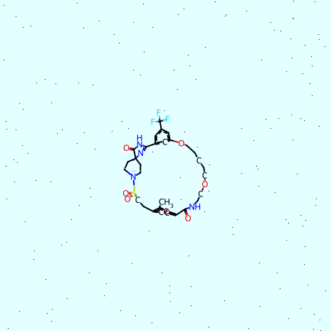 Cc1cc2ccc1CCS(=O)(=O)N1CCC3(CC1)N=C(NC3=O)c1cc(cc(C(F)(F)F)c1)OCCCCCOCCNC2=O